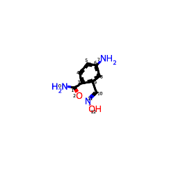 NC(=O)c1ccc(N)cc1C=NO